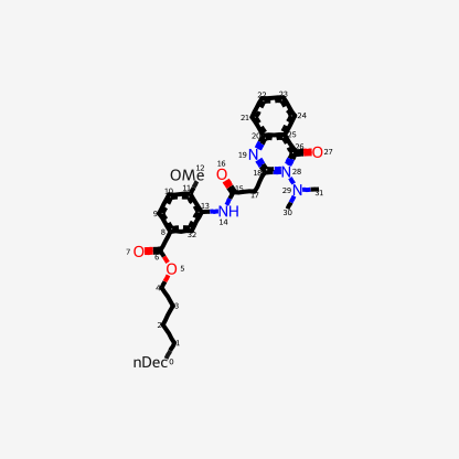 CCCCCCCCCCCCCCOC(=O)c1ccc(OC)c(NC(=O)Cc2nc3ccccc3c(=O)n2N(C)C)c1